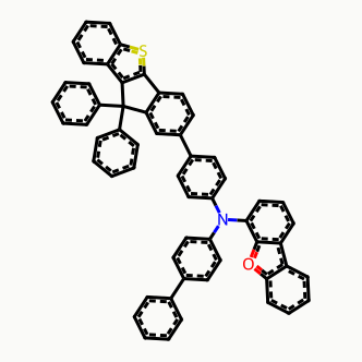 c1ccc(-c2ccc(N(c3ccc(-c4ccc5c(c4)C(c4ccccc4)(c4ccccc4)c4c-5sc5ccccc45)cc3)c3cccc4c3oc3ccccc34)cc2)cc1